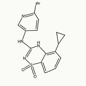 CC(C)c1ccc(NC2=NS(=O)(=O)c3cccc(C4CC4)c3N2)cn1